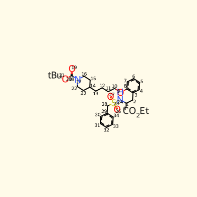 CCOC(=O)C(Cc1ccccc1OCCCCC1CCN(C(=O)OC(C)(C)C)CC1)NS(=O)(=O)Cc1ccccc1